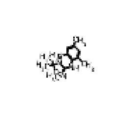 C/N=C(/Nc1c(C)cc(C)cc1C)NC(C)(C)C